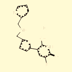 CCc1cc(-c2ccc(CNCc3ccccn3)s2)c(C)[nH]c1=O.Cl